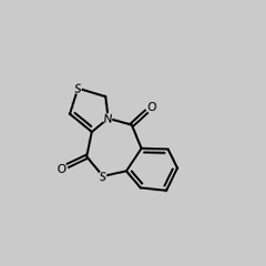 O=C1Sc2ccccc2C(=O)N2CSC=C12